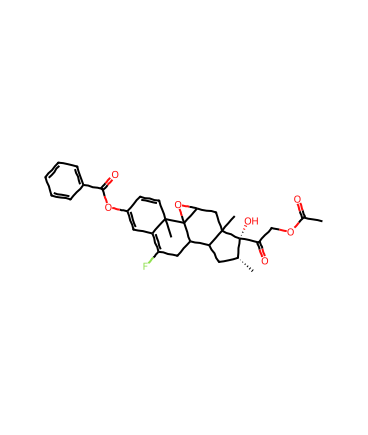 CC(=O)OCC(=O)[C@@]1(O)[C@H](C)CC2C3CC(F)=C4C=C(OC(=O)c5ccccc5)C=CC4(C)C34OC4CC21C